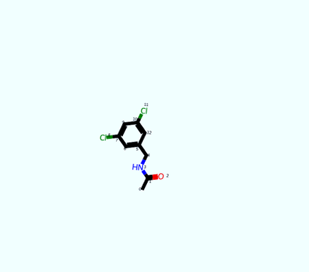 CC(=O)NCc1cc(Cl)cc(Cl)c1